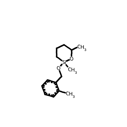 Cc1ccccc1CO[Si]1(C)CCCC(C)O1